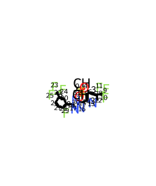 CCS(=O)(=O)c1cc(C(F)(F)F)cnc1-c1nnc(-c2cc(C(F)(F)F)ccc2F)n1C